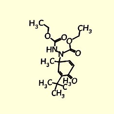 CCOC(=O)NN(C(=O)OCC)C1(C)C=CC(=O)C(C(C)(C)C)=C1